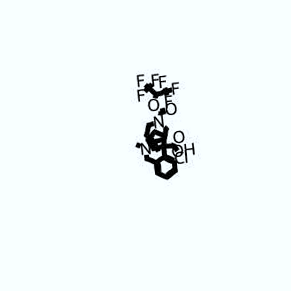 CN(Cc1cccc(Cl)c1C1(C(=O)O)CCCC1)C1(C)CCN(C(=O)OC(C(F)(F)F)C(F)(F)F)CC1